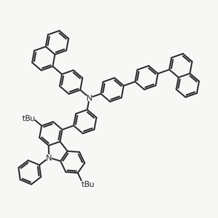 CC(C)(C)c1ccc2c3c(-c4cccc(N(c5ccc(-c6ccc(-c7cccc8ccccc78)cc6)cc5)c5ccc(-c6cccc7ccccc67)cc5)c4)cc(C(C)(C)C)cc3n(-c3ccccc3)c2c1